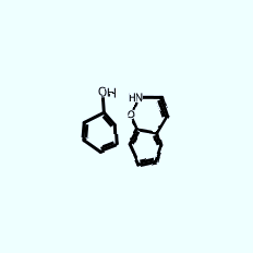 C1=Cc2ccccc2ON1.Oc1ccccc1